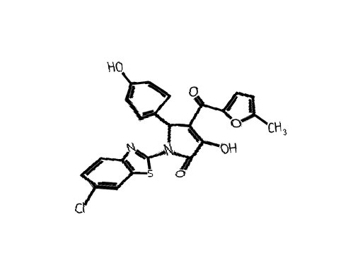 Cc1ccc(C(=O)C2=C(O)C(=O)N(c3nc4ccc(Cl)cc4s3)C2c2ccc(O)cc2)o1